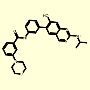 CC(C)Nc1ncc2cc(-c3cccc(NC(=O)c4cccc(N5CCOCC5)c4)c3)c(O)cc2n1